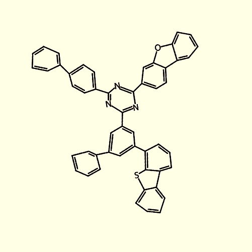 c1ccc(-c2ccc(-c3nc(-c4cc(-c5ccccc5)cc(-c5cccc6c5sc5ccccc56)c4)nc(-c4ccc5c(c4)oc4ccccc45)n3)cc2)cc1